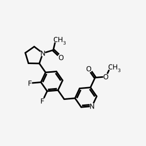 COC(=O)c1cncc(Cc2ccc(C3CCCN3C(C)=O)c(F)c2F)c1